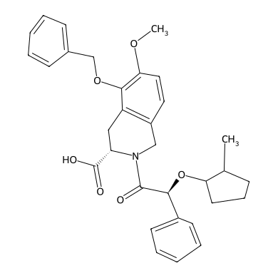 COc1ccc2c(c1OCc1ccccc1)C[C@@H](C(=O)O)N(C(=O)[C@@H](OC1CCCC1C)c1ccccc1)C2